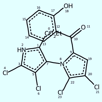 CCOC(=O)c1[nH]c(Cl)c(Cl)c1-n1c(C(=O)c2ccccc2O)cc(Cl)c1Cl